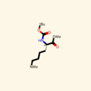 CNCCCC[C@H](NC(=O)OC(C)(C)C)C(=O)OC